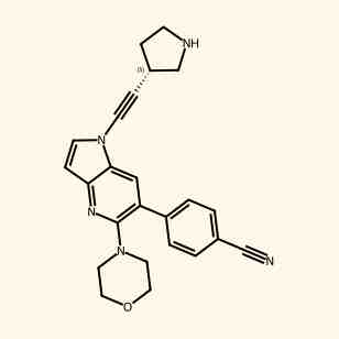 N#Cc1ccc(-c2cc3c(ccn3C#C[C@@H]3CCNC3)nc2N2CCOCC2)cc1